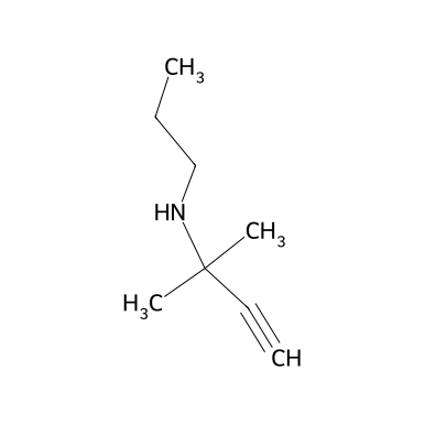 C#CC(C)(C)NCCC